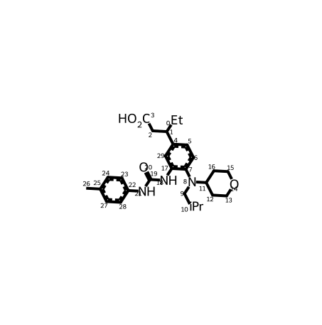 CCC(CC(=O)O)c1ccc(N(CC(C)C)C2CCOCC2)c(NC(=O)Nc2ccc(C)cc2)c1